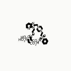 CCOCCn1c(CN2CCN(CCS(=O)(=O)c3ccccc3)CC2)nc2cccnc21.O=C(O)C=CC(=O)O.O=C(O)C=CC(=O)O